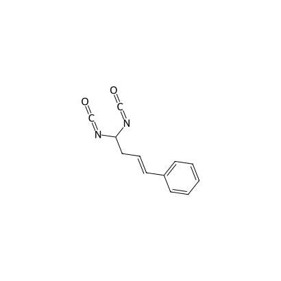 O=C=NC(CC=Cc1ccccc1)N=C=O